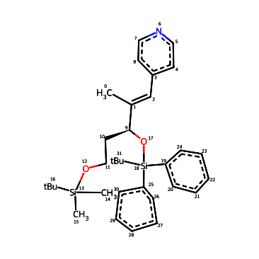 C/C(=C\c1ccncc1)[C@H](CCO[Si](C)(C)C(C)(C)C)O[Si](c1ccccc1)(c1ccccc1)C(C)(C)C